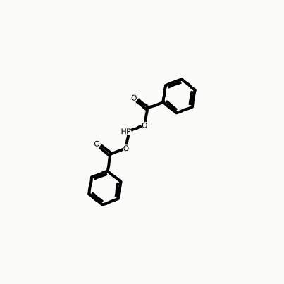 O=C(OPOC(=O)c1ccccc1)c1ccccc1